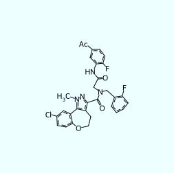 CC(=O)c1ccc(F)c(NC(=O)CN(Cc2ccccc2F)C(=O)c2nn(C)c3c2CCOc2ccc(Cl)cc2-3)c1